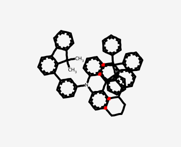 CC1(C)c2ccccc2-c2cccc(-c3cccc(N(c4ccccc4-c4cccc5cccc(C6CCCCC6)c45)c4cccc5c4-c4ccccc4C5(c4ccccc4)c4ccccc4)c3)c21